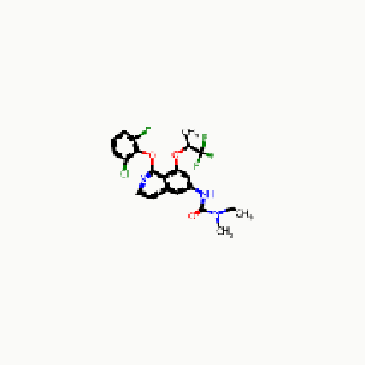 CCN(C)C(=O)Nc1cc(OC(C)C(F)(F)F)c2c(Oc3c(F)cccc3Cl)nccc2c1